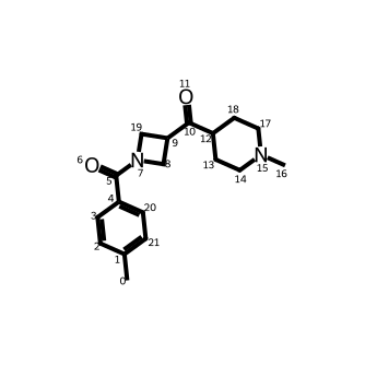 Cc1ccc(C(=O)N2CC(C(=O)C3CCN(C)CC3)C2)cc1